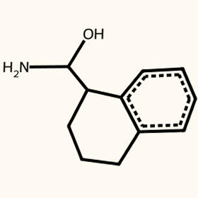 NC(O)C1CCCc2ccccc21